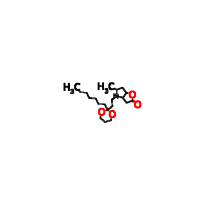 CCCCCCCC1(CC[C@H]2C(C)CC3OC(=O)CC32)OCCCO1